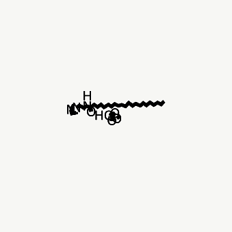 CCCCCCCCCCCCCCCCCCCCCC(=O)NCCN1C=NCC1.COS(=O)(=O)O